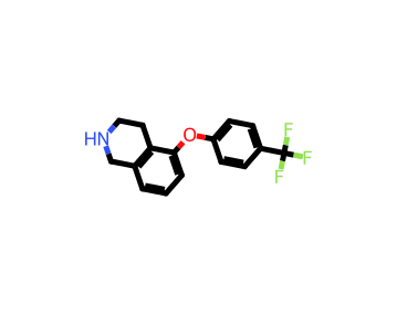 FC(F)(F)c1ccc(Oc2cccc3c2CCNC3)cc1